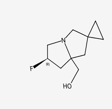 OCC12C[C@@H](F)CN1CC1(CC1)C2